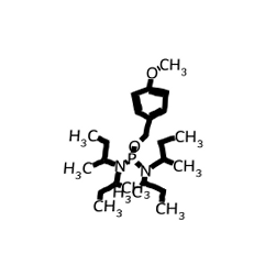 CCC(C)N(C(C)CC)P(OCc1ccc(OC)cc1)N(C(C)CC)C(C)CC